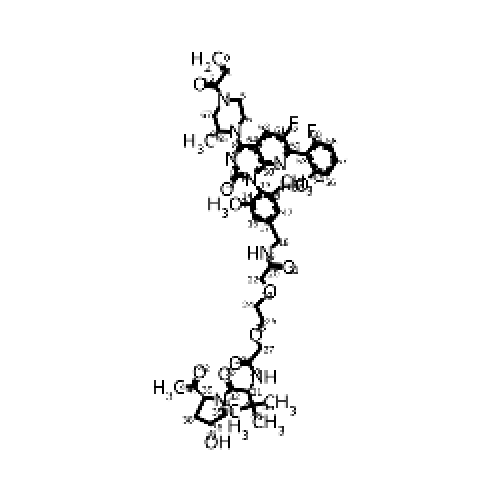 C=CC(=O)N1CCN(c2nc(=O)n(-c3c(C)cc(CNC(=O)COCCOCC(=O)N[C@H](C(=O)N4C[C@H](O)C[C@H]4C(C)=O)C(C)(C)C)cc3C)c3nc(-c4c(O)cccc4F)c(F)cc23)[C@@H](C)C1